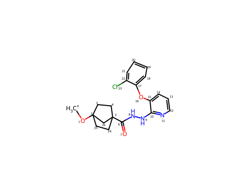 COC12CCC(C(=O)NNc3ncccc3Oc3ccccc3Cl)(CC1)C2